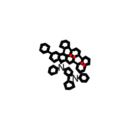 c1ccc(-c2ccc(-c3ccccc3-c3c4cc(-c5ccccc5)ccc4c(N(c4ccccc4)c4ccc5c(c4)c4ccccc4n5-c4ccccc4)c4cc(-c5ccccc5)ccc34)cc2)cc1